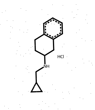 Cl.c1ccc2c(c1)CCC(NCC1CC1)C2